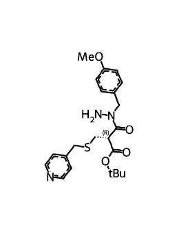 COc1ccc(CN(N)C(=O)[C@@H](CSCc2ccncc2)C(=O)OC(C)(C)C)cc1